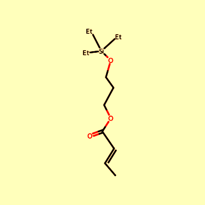 CC=CC(=O)OCCCO[Si](CC)(CC)CC